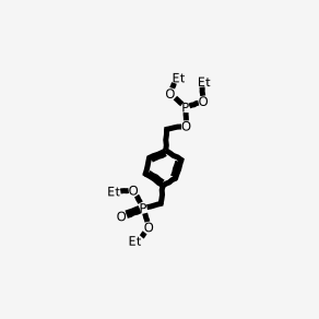 CCOP(OCC)OCc1ccc(CP(=O)(OCC)OCC)cc1